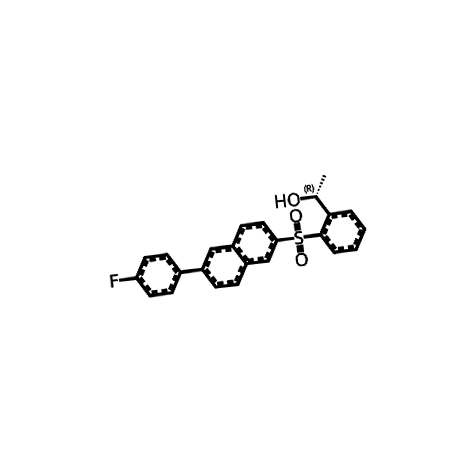 C[C@@H](O)c1ccccc1S(=O)(=O)c1ccc2cc(-c3ccc(F)cc3)ccc2c1